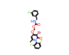 Cc1cc(OCOC(=O)NCc2cccc(F)c2)c(Br)c(=O)n1-c1c(F)cccc1F